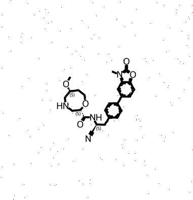 CO[C@H]1CCO[C@H](C(=O)N[C@H](C#N)Cc2ccc(-c3ccc4oc(=O)n(C)c4c3)cc2)CNC1